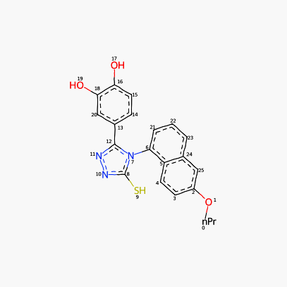 CCCOc1ccc2c(-n3c(S)nnc3-c3ccc(O)c(O)c3)cccc2c1